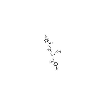 O=C(CCNCCN(CCO)CCC(=O)c1ccc(Br)s1)c1ccc(Br)s1